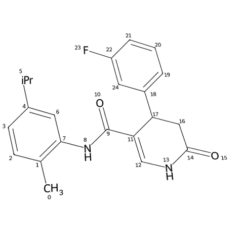 Cc1ccc(C(C)C)cc1NC(=O)C1=CNC(=O)CC1c1cccc(F)c1